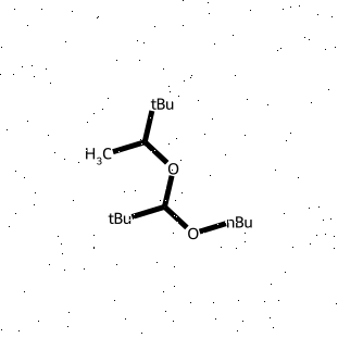 CCCCOC(OC(C)C(C)(C)C)C(C)(C)C